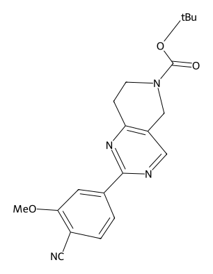 COc1cc(-c2ncc3c(n2)CCN(C(=O)OC(C)(C)C)C3)ccc1C#N